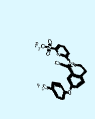 O=C1c2cc(Oc3ccc(C(F)(F)F)cc3)ccc2CCN1c1cccc(S(=O)(=O)C(F)(F)F)n1